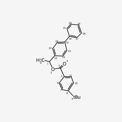 CC(OC(=O)c1ccc(C(C)(C)C)cc1)c1ccc(-c2ccccc2)cc1